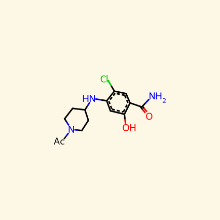 CC(=O)N1CCC(Nc2cc(O)c(C(N)=O)cc2Cl)CC1